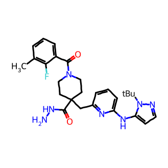 Cc1cccc(C(=O)N2CCC(Cc3cccc(Nc4ccnn4C(C)(C)C)n3)(C(=O)NN)CC2)c1F